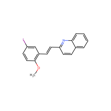 COc1ccc(I)cc1/C=C/c1ccc2ccccc2n1